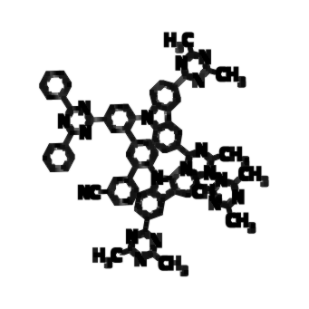 Cc1nc(C)nc(-c2ccc3c(c2)c2cc(-c4nc(C)nc(C)n4)ccc2n3-c2ccc(-c3nc(-c4ccccc4)nc(-c4ccccc4)n3)cc2-c2ccc(-n3c4ccc(-c5nc(C)nc(C)n5)cc4c4cc(-c5nc(C)nc(C)n5)ccc43)c(-c3cccc(C#N)c3)c2)n1